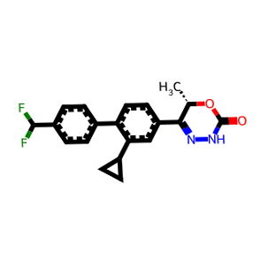 C[C@@H]1OC(=O)NN=C1c1ccc(-c2ccc(C(F)F)cc2)c(C2CC2)c1